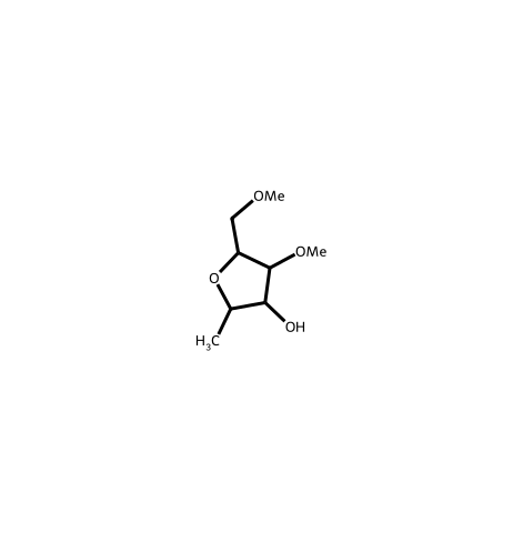 COCC1OC(C)C(O)C1OC